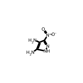 Nc1[nH]nc([N+](=O)[O-])c1N